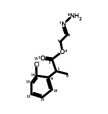 CC(C(=O)OCC=NN)c1ccccc1Cl